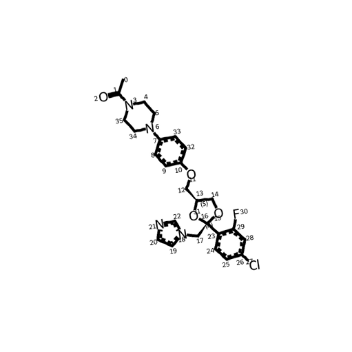 CC(=O)N1CCN(c2ccc(OC[C@H]3CO[C@](Cn4ccnc4)(c4ccc(Cl)cc4F)O3)cc2)CC1